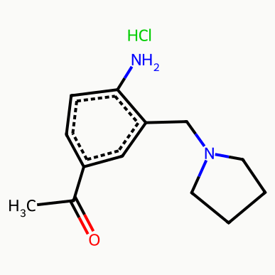 CC(=O)c1ccc(N)c(CN2CCCC2)c1.Cl